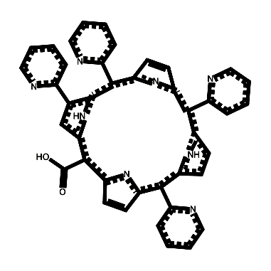 O=C(O)c1c2nc(c(-c3ccccn3)c3ccc([nH]3)c(-c3ccccn3)c3nc(c(-c4ccccn4)c4[nH]c1cc4-c1ccccn1)C=C3)C=C2